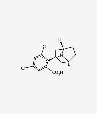 CN1[C@@H]2CC[C@H]1C[C@H](c1c(Cl)cc(Cl)cc1C(=O)O)C2